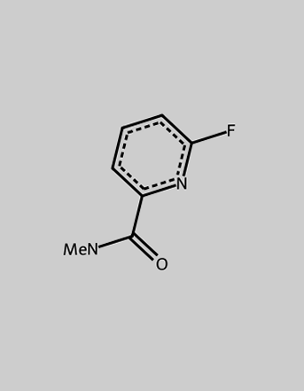 CNC(=O)c1cccc(F)n1